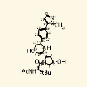 CC(=O)N[C@H](C(=O)N1C[C@H](O)C[C@H]1C(=O)N[C@@H](CO)c1ccc(-c2ccnn2C)cc1)C(C)(C)C